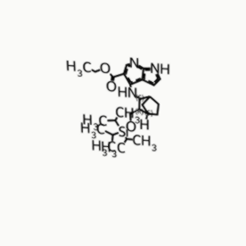 CCOC(=O)c1cnc2[nH]ccc2c1N[C@H]1C2CC[C@@H](C2)[C@H]1CO[Si](C(C)C)(C(C)C)C(C)C